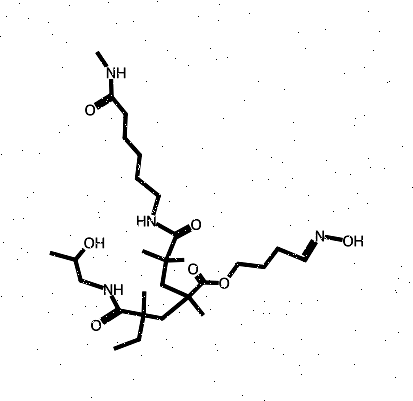 CCC(C)(CC(C)(CC(C)(C)C(=O)NCCCCCC(=O)NC)C(=O)OCCC/C=N/O)C(=O)NCC(C)O